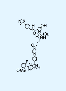 COc1cccc(F)c1-c1ncc2[nH]nc(-c3ccc(N4CCN(C(=O)CCCC(=O)N[C@H](C(=O)N5C[C@H](O)C[C@H]5C(=O)NCc5ccc(-c6scnc6C)cc5)C(C)(C)C)CC4)cc3)c2n1